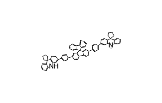 CN1c2ccccc2C2(CCCC2)c2ccc(-c3ccc(-c4ccc5c(c4)C4(c6ccccc6-c6ccccc64)c4cc(-c6ccc(-c7ccc8c(c7)Nc7ccccc7C87CCCC7)cc6)ccc4-5)cc3)cc21